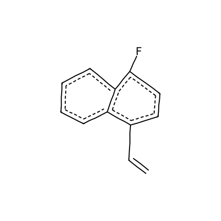 C=Cc1ccc(F)c2ccccc12